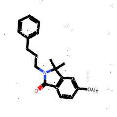 COc1ccc2c(c1)C(C)(C)N(CCCc1ccccc1)C2=O